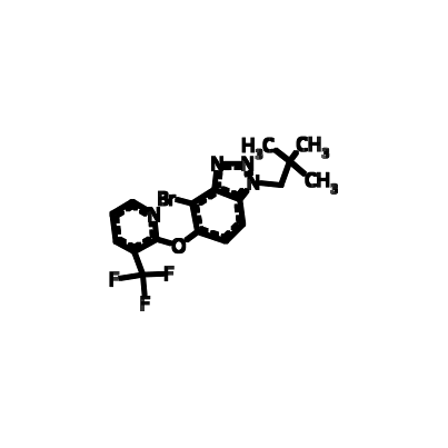 CC(C)(C)Cn1nnc2c(Br)c(Oc3ncccc3C(F)(F)F)ccc21